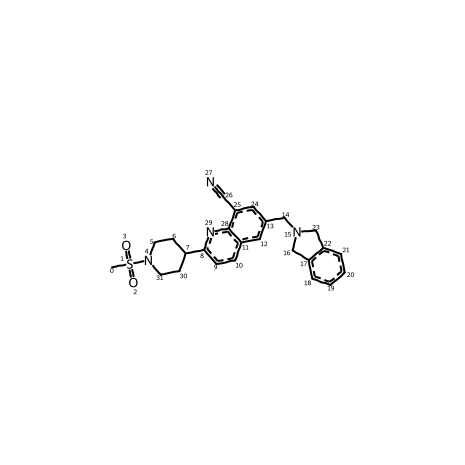 CS(=O)(=O)N1CCC(c2ccc3cc(CN4Cc5ccccc5C4)cc(C#N)c3n2)CC1